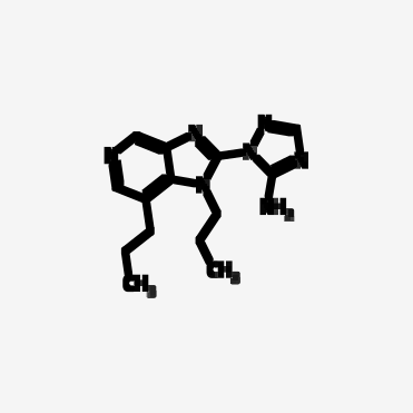 CCCc1cncc2nc(-n3ncnc3N)n(CCC)c12